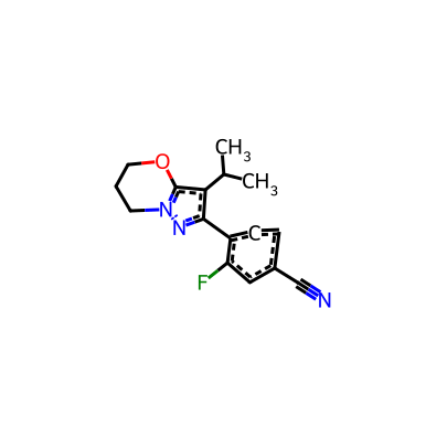 CC(C)c1c(-c2ccc(C#N)cc2F)nn2c1OCCC2